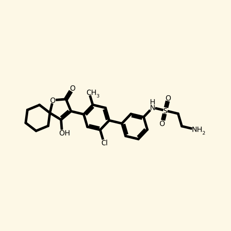 Cc1cc(-c2cccc(NS(=O)(=O)CCN)c2)c(Cl)cc1C1=C(O)C2(CCCCC2)OC1=O